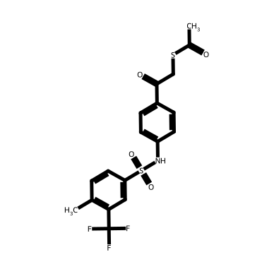 CC(=O)SCC(=O)c1ccc(NS(=O)(=O)c2ccc(C)c(C(F)(F)F)c2)cc1